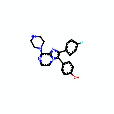 Oc1ccc(-c2c(-c3ccc(F)cc3)nc3c(N4CCNCC4)nccn23)cc1